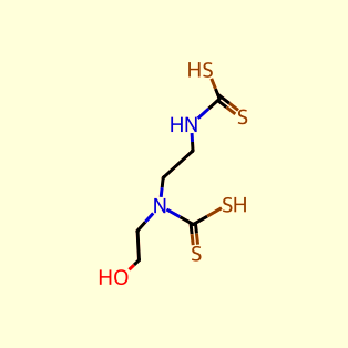 OCCN(CCNC(=S)S)C(=S)S